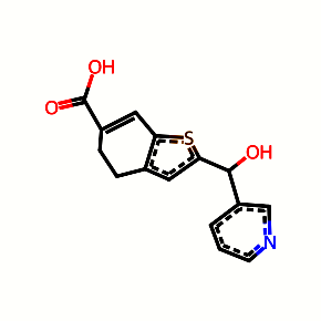 O=C(O)C1=Cc2sc(C(O)c3cccnc3)cc2CC1